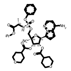 CC(C)OC(=O)[C@H](C)N[P@](=O)(OC[C@@]1(C#N)O[C@@H](c2ccc3c(N)ccnn23)[C@H](OC(=O)C2CCOCC2)[C@@H]1OC(=O)C1CCOCC1)Oc1ccccc1